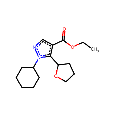 CCOC(=O)c1cnn(C2CCCCC2)c1C1CCCO1